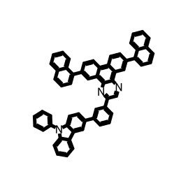 c1ccc(-n2c3ccccc3c3cc(-c4cccc(-c5cnc6c7cc(-c8cccc9ccccc89)ccc7c7ccc(-c8cccc9ccccc89)cc7c6n5)c4)ccc32)cc1